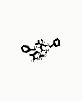 CN[C@H]([C@H](OCc1ccccc1)C(COCc1ccccc1)(OC)C(C)C)n1cc(C)c(=O)[nH]c1=O